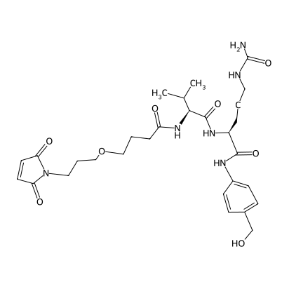 CC(C)[C@H](NC(=O)CCCOCCCN1C(=O)C=CC1=O)C(=O)N[C@@H](CCCNC(N)=O)C(=O)Nc1ccc(CO)cc1